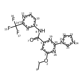 CCOc1cc(C(=O)Nc2ccnc(C(F)(F)F)c2)nc(-n2ccnc2)n1